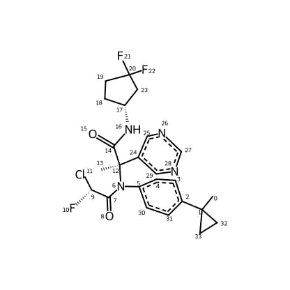 CC1(c2ccc(N(C(=O)[C@H](F)Cl)[C@@](C)(C(=O)N[C@@H]3CCC(F)(F)C3)c3cncnc3)cc2)CC1